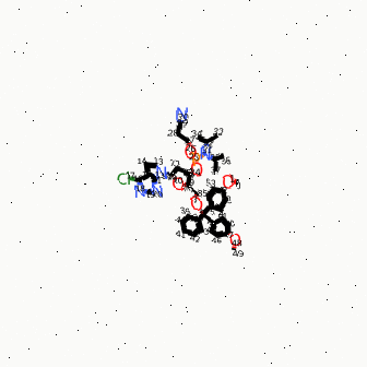 COc1ccc(C(OC[C@H]2O[C@@H](n3ccc4c(Cl)ncnc43)C[C@@H]2OP(OCCC#N)N(C(C)C)C(C)C)(c2ccccc2)c2ccc(OC)cc2)cc1